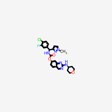 Cn1ccc(C(NC(=O)Oc2ccc3cnc(NC4CCOCC4)nc3c2)c2ccc(Cl)c(F)c2)n1